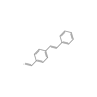 [CH]=Cc1ccc(C=Cc2ccccc2)cc1